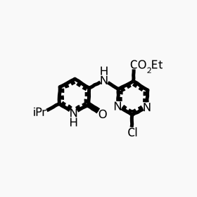 CCOC(=O)c1cnc(Cl)nc1Nc1ccc(C(C)C)[nH]c1=O